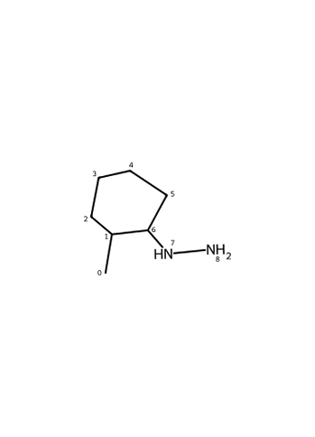 CC1CCCCC1NN